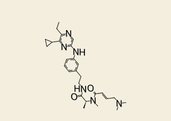 CCc1ncc(Nc2cccc(CCNC(=O)[C@H](C)N(C)C(=O)/C=C/CN(C)C)c2)nc1C1CC1